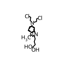 Cn1c(CCCC(O)O)nc2cc(N(CCCl)CCCl)ccc21